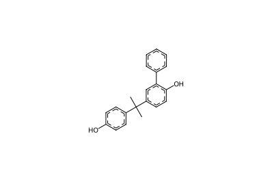 CC(C)(c1ccc(O)cc1)c1ccc(O)c(-c2ccccc2)c1